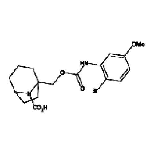 COc1ccc(Br)c(NC(=O)OCC23CCCC(CC2)N3C(=O)O)c1